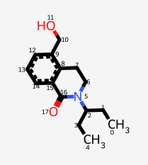 CCC(CC)N1CCc2c(CO)cccc2C1=O